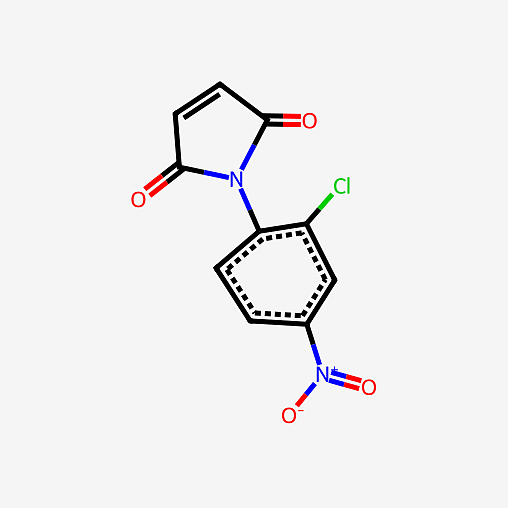 O=C1C=CC(=O)N1c1ccc([N+](=O)[O-])cc1Cl